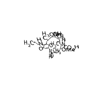 C=CCNC1=C2C[C@@H](C)C[C@H](OC)[C@H](O)[C@@H](C)/C=C(\C)[C@H](NC(=O)O)[C@@H](OC)/C=C\C=C(/C)C(=O)NC(=CC1=O)C2=O